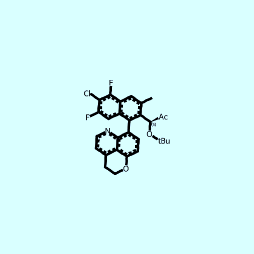 CC(=O)[C@@H](OC(C)(C)C)c1c(C)cc2c(F)c(Cl)c(F)cc2c1-c1ccc2c3c(ccnc13)CCO2